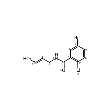 O=C(NC/C=N/O)c1cc(Br)ccc1Cl